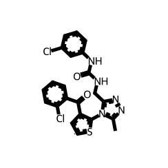 Cc1nnc(CNC(=O)Nc2cccc(Cl)c2)n1-c1s[c]cc1C(=O)c1ccccc1Cl